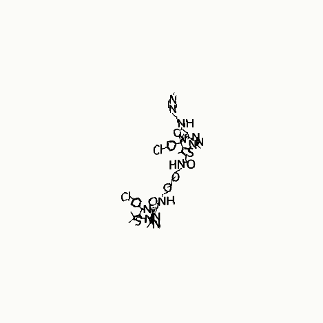 Cc1sc2c(c1C)C(c1ccc(Cl)cc1)=N[C@@H](CC(=O)NCCOCCOCCNC(=O)c1sc3c(c1C)C(c1ccc(Cl)cc1)=N[C@@H](CC(=O)NCCCN1CCN(C)CC1)c1nnc(C)n1-3)c1nnc(C)n1-2